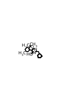 CC1CCC2=C(C1)c1c(O)nc(Cc3ccccc3)nc1OC2(C)C